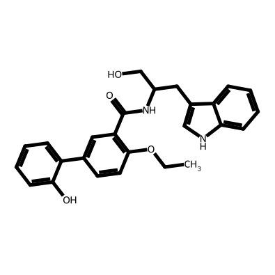 CCOc1ccc(-c2ccccc2O)cc1C(=O)NC(CO)Cc1c[nH]c2ccccc12